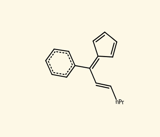 CCCC=CC(=C1C=CC=C1)c1ccccc1